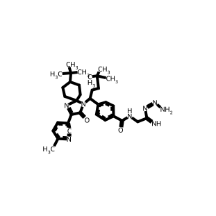 Cc1ccc(C2=NC3(CCC(C(C)(C)C)CC3)N(C(CCC(C)(C)C)c3ccc(C(=O)NCC(=N)/N=N\N)cc3)C2=O)cn1